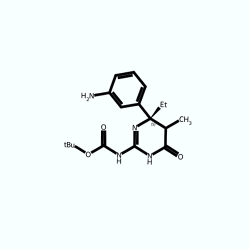 CC[C@]1(c2cccc(N)c2)N=C(NC(=O)OC(C)(C)C)NC(=O)C1C